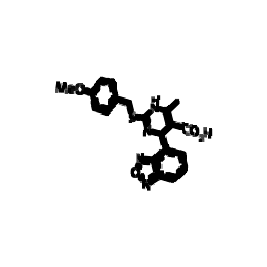 COc1ccc(CSC2=NC(c3cccc4nonc34)C(C(=O)O)=C(C)N2)cc1